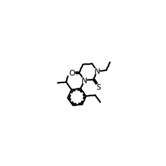 CCc1cccc(C(C)C)c1N1C(=O)CCN(CC)C1=S